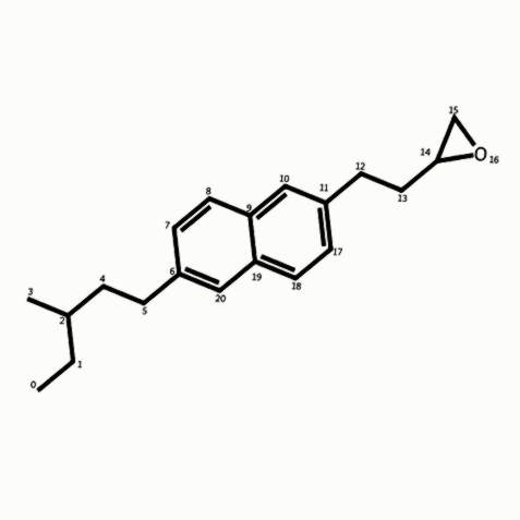 CCC(C)CCc1ccc2cc(CCC3CO3)ccc2c1